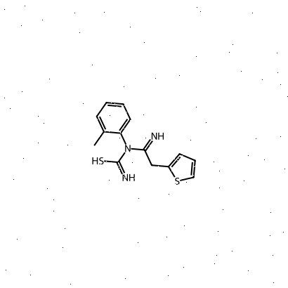 Cc1ccccc1N(C(=N)S)C(=N)Cc1cccs1